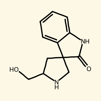 O=C1Nc2ccccc2C12CNC(CO)C2